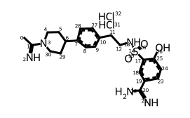 CC(=N)N1CCC(c2ccc(CCNS(=O)(=O)c3cc(C(=N)N)ccc3O)cc2)CC1.Cl.Cl